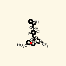 O=C(Nc1cc(F)c(CC(=O)C(OC2CCC(C(=O)O)CC2)(N2CCCC2)N2CCN(CC(F)(F)F)CC2)cc1Cl)c1c[nH]c2ccccc12